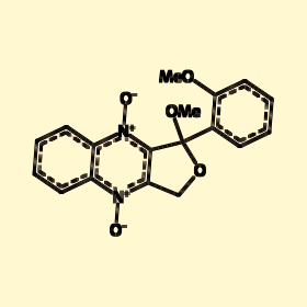 COc1ccccc1C1(OC)OCc2c1[n+]([O-])c1ccccc1[n+]2[O-]